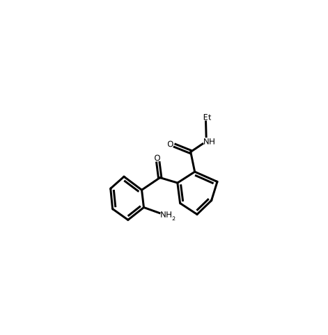 CCNC(=O)c1ccccc1C(=O)c1ccccc1N